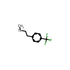 C[Te]CCc1ccc(C(F)(F)F)cc1